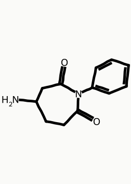 NC1CCC(=O)N(c2ccccc2)C(=O)C1